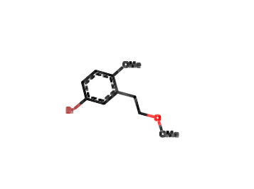 COOCCc1cc(Br)ccc1OC